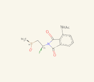 CC(=O)Nc1cccc2c1C(=O)N([C@@H](F)C[S@+](C)[O-])C2=O